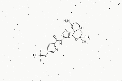 CC(F)(F)Oc1ccc(C(=O)Nc2csc([C@@]34COC(C)(C)C[C@@H]3CSC(N)=N4)n2)nc1